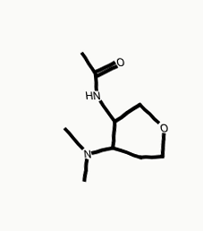 CC(=O)NC1COCCC1N(C)C